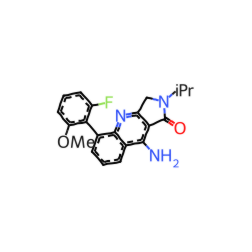 COc1cccc(F)c1-c1cccc2c(N)c3c(nc12)CN(C(C)C)C3=O